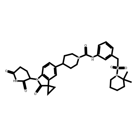 CC1(C)CCCCN1S(=O)(=O)Cc1cccc(NC(=O)N2CCC(c3ccc4c(c3)C3(CC3)C(=O)N4C3CCC(=O)NC3=O)CC2)c1